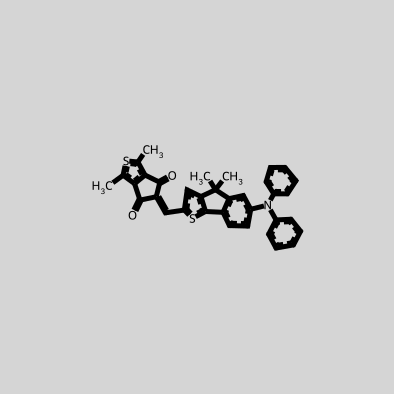 Cc1sc(C)c2c1C(=O)C(=Cc1cc3c(s1)-c1ccc(N(c4ccccc4)c4ccccc4)cc1C3(C)C)C2=O